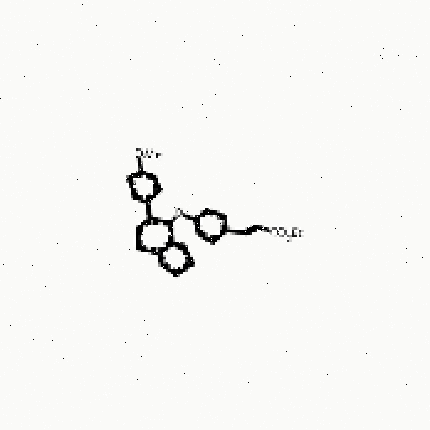 CCOC(=O)C=Cc1ccc(Oc2c(-c3ccc(OC)cc3)ccc3ccccc23)cc1